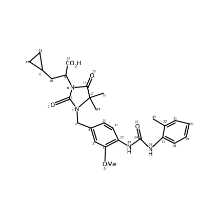 COc1cc(CN2C(=O)N(C(CC3CC3)C(=O)O)C(=O)C2(C)C)ccc1NC(=O)Nc1ccccc1C